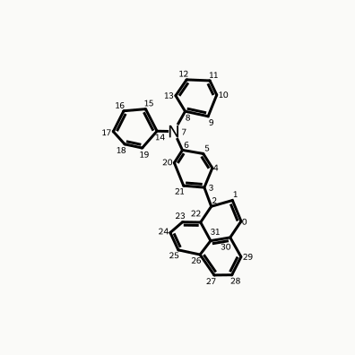 C1=CC(c2ccc(N(c3ccccc3)c3ccccc3)cc2)c2cccc3cccc1c23